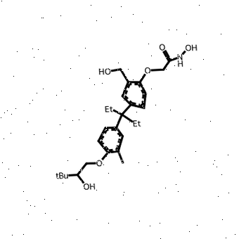 CCC(CC)(c1ccc(OCC(O)C(C)(C)C)c(C)c1)c1ccc(OCC(=O)NO)c(CO)c1